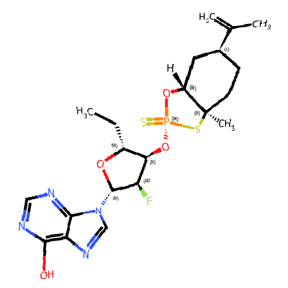 C=C(C)[C@H]1CC[C@@]2(C)S[P@](=S)(O[C@H]3[C@@H](F)[C@H](n4cnc5c(O)ncnc54)O[C@@H]3CC)O[C@@H]2C1